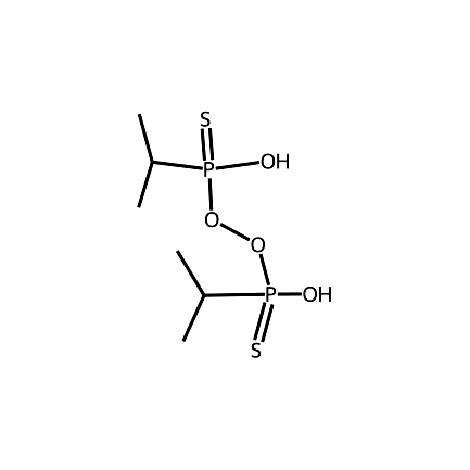 CC(C)P(O)(=S)OOP(O)(=S)C(C)C